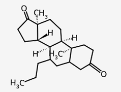 CCCC1CC2CC(=O)CC[C@]2(C)[C@@H]2CC[C@]3(C)C(=O)CC[C@H]3[C@H]12